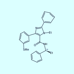 CC[C@H](NC(=O)c1c(-c2cccc(SC)c2)nc(-c2ccccc2)n1CC)c1ccccc1